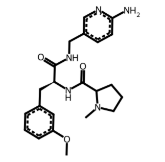 COc1cccc(C[C@H](NC(=O)C2CCCN2C)C(=O)NCc2ccc(N)nc2)c1